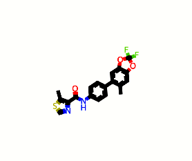 Cc1cc2c(cc1-c1ccc(NC(=O)c3ncsc3C)cc1)OC(F)(F)O2